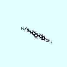 C=Cc1ccc2c(c1)CCC(C1CCC3CC(CCC=CC)CCC3C1)C2